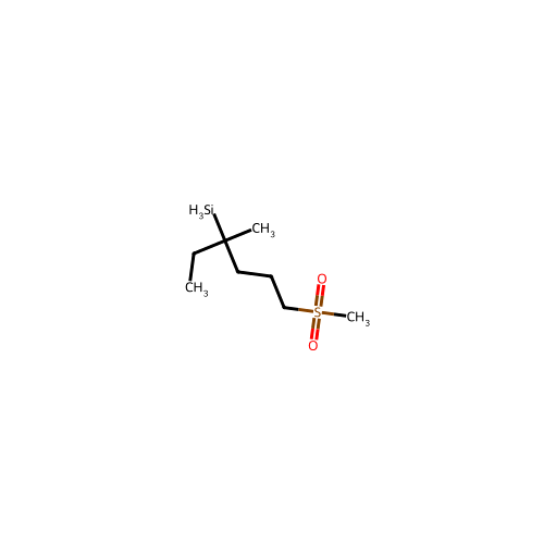 CCC(C)([SiH3])CCCS(C)(=O)=O